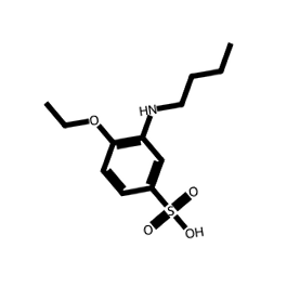 CCCCNc1cc(S(=O)(=O)O)ccc1OCC